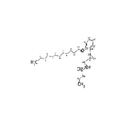 CCCCCCCCCCCCOc1ccccc1C1CC1CNC(=O)CCC